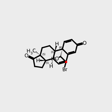 C[C@]12CC[C@H]3[C@@H](C=CC4=CC(=O)C=C[C@@]43C(O)CBr)[C@@H]1CCC2=O